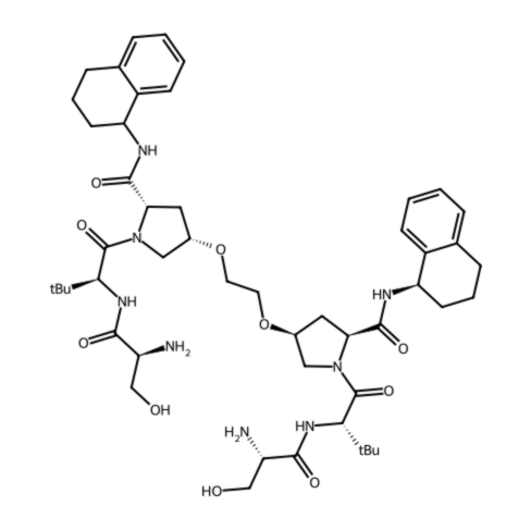 CC(C)(C)[C@H](NC(=O)[C@@H](N)CO)C(=O)N1C[C@@H](OCCO[C@H]2C[C@@H](C(=O)N[C@@H]3CCCc4ccccc43)N(C(=O)[C@@H](NC(=O)[C@@H](N)CO)C(C)(C)C)C2)C[C@H]1C(=O)NC1CCCc2ccccc21